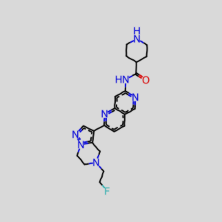 O=C(Nc1cc2nc(-c3cnn4c3CN(CCF)CC4)ccc2cn1)C1CCNCC1